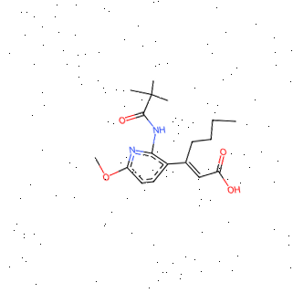 CCCC/C(=C\C(=O)O)c1ccc(OC)nc1NC(=O)C(C)(C)C